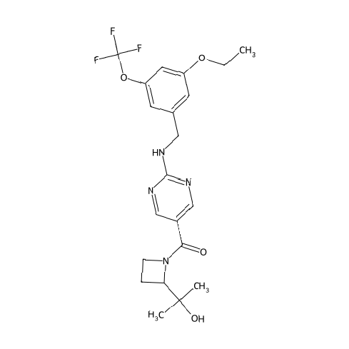 CCOc1cc(CNc2ncc(C(=O)N3CCC3C(C)(C)O)cn2)cc(OC(F)(F)F)c1